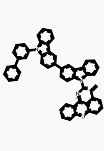 C=Cc1cccc2oc3ccccc3/c(=N/C(=C)n3c4ccccc4c4cc(-c5ccc6c(c5)c5ccccc5n6-c5cccc(-c6ccccc6)c5)ccc43)c12